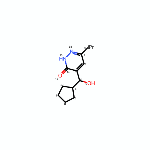 CC(C)c1cc(C(O)C2CCCC2)c(=O)[nH]n1